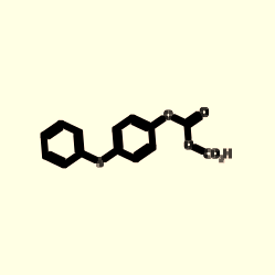 O=C(O)OC(=O)Oc1ccc(Sc2ccccc2)cc1